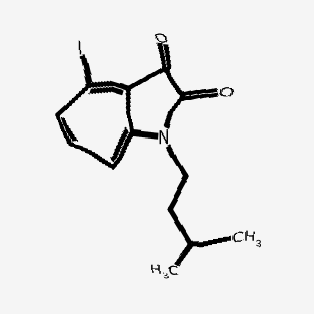 CC(C)CCN1C(=O)C(=O)c2c(I)cccc21